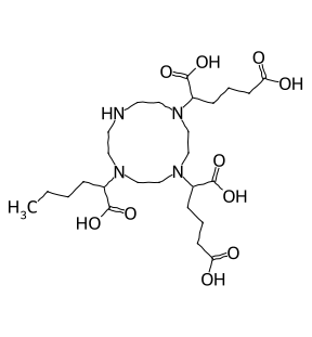 CCCCC(C(=O)O)N1CCNCCN(C(CCCC(=O)O)C(=O)O)CCN(C(CCCC(=O)O)C(=O)O)CC1